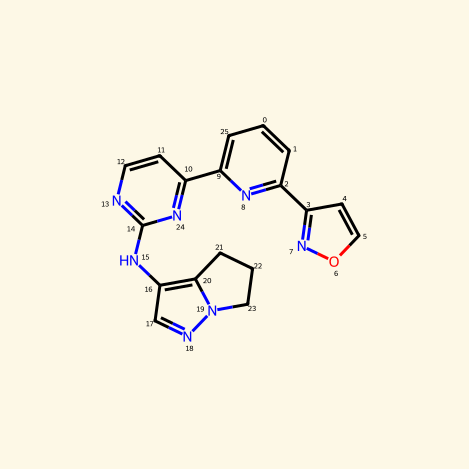 c1cc(-c2ccon2)nc(-c2ccnc(Nc3cnn4c3CCC4)n2)c1